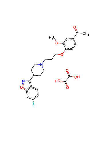 COc1cc(C(C)=O)ccc1OCCCN1CCC(c2noc3cc(F)ccc23)CC1.O=C(O)C(=O)O